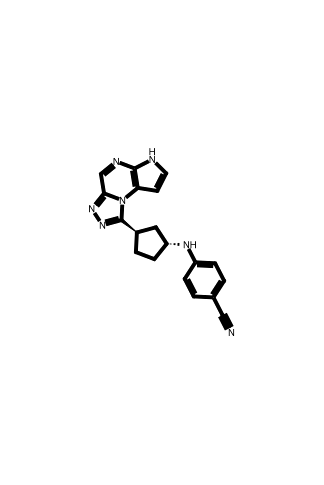 N#Cc1ccc(N[C@@H]2CC[C@@H](c3nnc4cnc5[nH]ccc5n34)C2)cc1